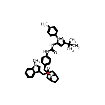 Cc1ccc(-n2nc(C(C)(C)C)cc2NC(=O)Nc2ccc(CC3CC4CCC(C3)N4C(=O)Cc3cn(C)c4ccccc34)cc2)cc1